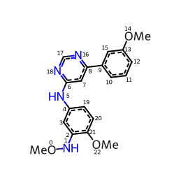 CONc1cc(Nc2cc(-c3cccc(OC)c3)ncn2)ccc1OC